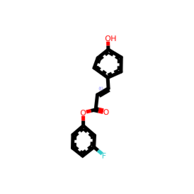 O=C(/C=C/c1ccc(O)cc1)Oc1cccc(F)c1